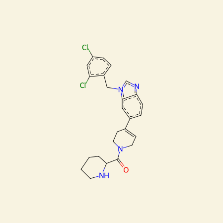 O=C(C1CCCCN1)N1CC=C(c2ccc3ncn(Cc4ccc(Cl)cc4Cl)c3c2)CC1